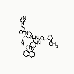 CN1CCC[C@H]1COc1nc2c(c(N3CCN(C(=O)/C=C/n4ccnc4)[C@@H](CC#N)C3)n1)CCN(c1cccc3cccc(Cl)c13)C2